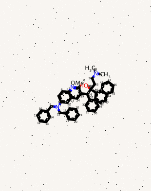 COc1nc2ccc(N(Cc3ccccc3)Cc3ccccc3)cc2cc1C(c1ccccc1)C(O)(CCN(C)C)c1cccc2ccccc12